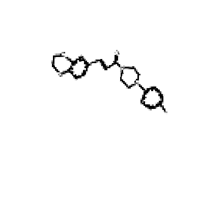 O=C(C=Cc1ccc2c(c1)OCCO2)N1CCN(c2ccc(F)cc2)CC1